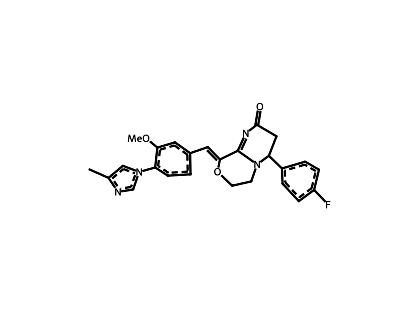 COc1cc(/C=C2\OCCN3C2=NC(=O)CC3c2ccc(F)cc2)ccc1-n1cnc(C)c1